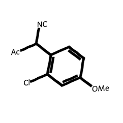 [C-]#[N+]C(C(C)=O)c1ccc(OC)cc1Cl